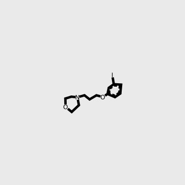 Ic1cccc(OCCCN2CCOCC2)c1